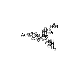 C=C(CCBC(C)=O)NC(C(=O)NC(CCCNC(N)=O)C(=O)Nc1ccc(COC(C)=O)cc1)C(C)C